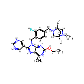 CCOc1nc(C)c2nc(-c3cncnc3)n(Cc3ccc(CN4C[C@@H]5C[C@H]4CN5C)cc3F)c2n1